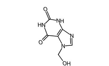 O=c1[nH]c(=O)c2c(ncn2CO)[nH]1